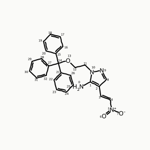 Nc1c(/C=C/[N+](=O)[O-])cnn1CCOC(c1ccccc1)(c1ccccc1)c1ccccc1